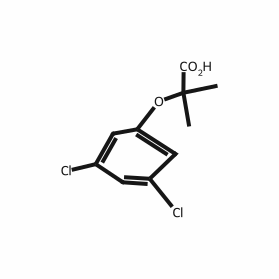 CC(C)(Oc1cc(Cl)cc(Cl)c1)C(=O)O